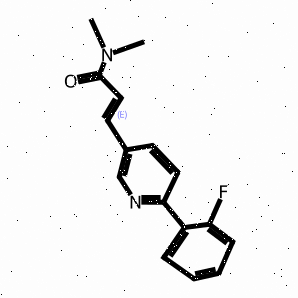 CN(C)C(=O)/C=C/c1ccc(-c2ccccc2F)nc1